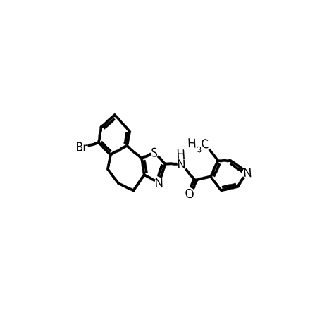 Cc1cnccc1C(=O)Nc1nc2c(s1)-c1cccc(Br)c1CCC2